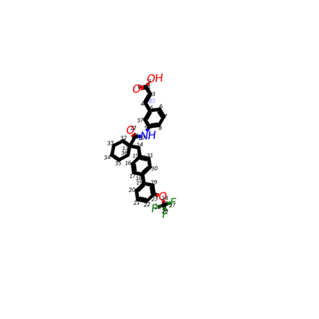 O=C(O)/C=C/c1cccc(NC(=O)C2(Cc3ccc(-c4cccc(OC(F)(F)F)c4)cc3)CCCCC2)c1